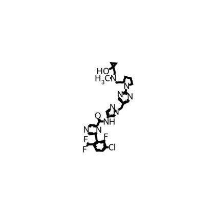 CN(CC1CCCN1c1ncc(Cn2cc(NC(=O)c3cncc(-c4c(C(F)F)ccc(Cl)c4F)n3)cn2)cn1)CC1(O)CC1